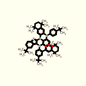 Cc1cc2c3c(c1)N(c1ccc(C(C)(C)C)cc1-c1ccc4c(c1)C(C)(C)CCC4(C)C)c1c(sc4ccc(C(C)(C)C)cc14)B3c1cc3c(cc1N2c1ccc(C(C)(C)C)cc1)C(C)(C)CCC3(C)C